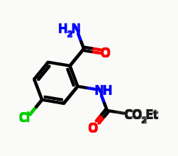 CCOC(=O)C(=O)Nc1cc(Cl)ccc1C(N)=O